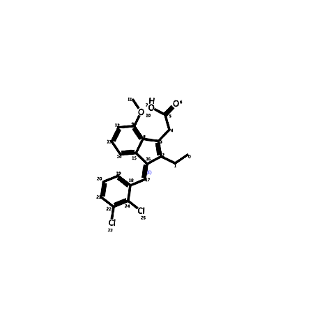 CCC1=C(CC(=O)O)c2c(OC)cccc2/C1=C\c1cccc(Cl)c1Cl